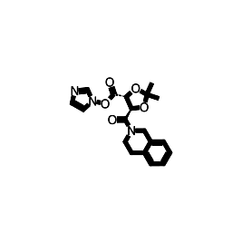 CC1(C)O[C@@H](C(=O)On2ccnc2)[C@H](C(=O)N2CCc3ccccc3C2)O1